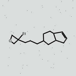 CCC1(CCCC2CCC3C=CCC3C2)COC1